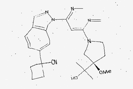 C=N/C(=C\C(=N/C)n1ncc2ccc(C3(C#N)CCC3)cc21)N1CC[C@](OC)(C(C)(C)O)C1